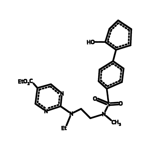 CCOC(=O)c1cnc(N(CC)CCN(C)S(=O)(=O)c2ccc(-c3ccccc3O)cc2)nc1